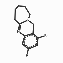 Fc1cc(Br)c2c(c1)N=C1CCCCCN1C2